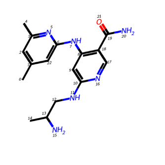 Cc1cc(C)nc(Nc2cc(NCC(C)N)ncc2C(N)=O)c1